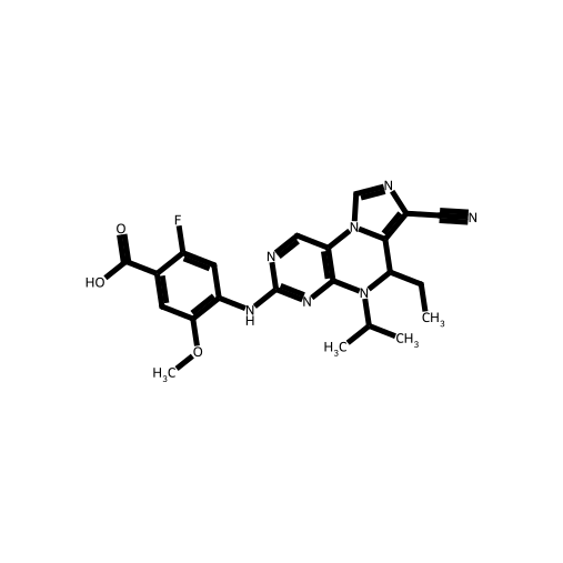 CCC1c2c(C#N)ncn2-c2cnc(Nc3cc(F)c(C(=O)O)cc3OC)nc2N1C(C)C